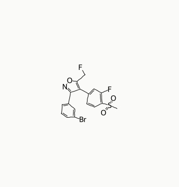 CS(=O)(=O)c1ccc(-c2c(-c3cccc(Br)c3)noc2CF)cc1F